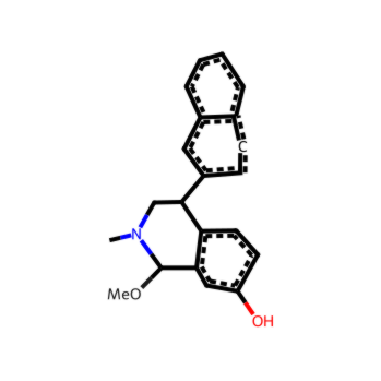 COC1c2cc(O)ccc2C(c2ccc3ccccc3c2)CN1C